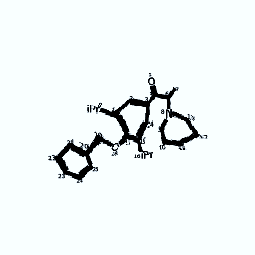 CC(C)c1cc(C(=O)C(C)N2CCCCC2)cc(C(C)C)c1OCc1ccccc1